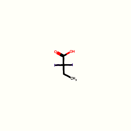 CCC(I)(I)C(=O)O